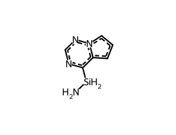 N[SiH2]c1ncnn2cccc12